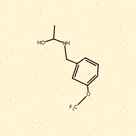 CC(O)NCc1cccc(OC(F)(F)F)c1